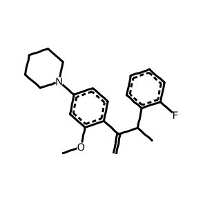 C=C(c1ccc(N2CCCCC2)cc1OC)C(C)c1ccccc1F